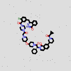 O=C(CN1CCC(OC2CCN(C(=O)[C@@H](C3CCCCC3)n3ccc4ccc(C5CCCN(C(=O)C6CC6)C5)cc4c3=O)CC2)CC1)N1CCN(C(=O)c2cc(Cc3n[nH]c(=O)c4ccccc34)ccc2F)CC1